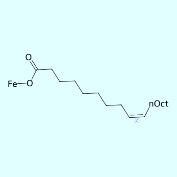 CCCCCCCC/C=C\CCCCCCCC(=O)[O][Fe]